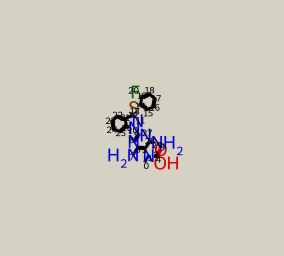 CN(C(=O)O)c1c(N)nc(-n2nc(Sc3ccccc3F)c3ccccc32)nc1N